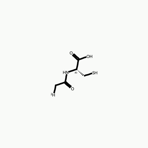 [2H]CC(=O)N[C@@H](CS)C(=O)O